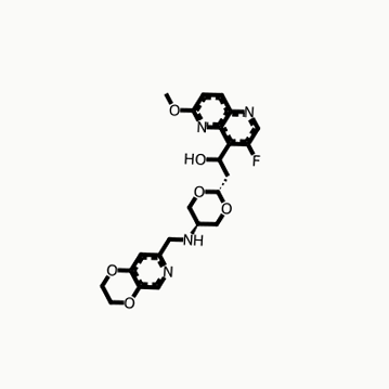 COc1ccc2ncc(F)c(C(O)C[C@H]3OC[C@H](NCc4cc5c(cn4)OCCO5)CO3)c2n1